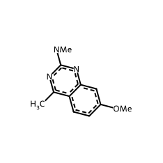 CNc1nc(C)c2ccc(OC)cc2n1